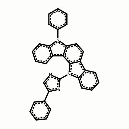 c1ccc(-c2cnc(-n3c4ccccc4c4ccc5c(c6ccccc6n5-c5ccccc5)c43)s2)cc1